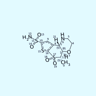 C[C@H]1[C@@H]2OCCN[C@H]2c2cc(S(N)(=O)=O)sc2S1(=O)=O